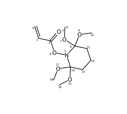 C=CC(=O)ON1C(OC)(OC)CCCC1(OC)OC